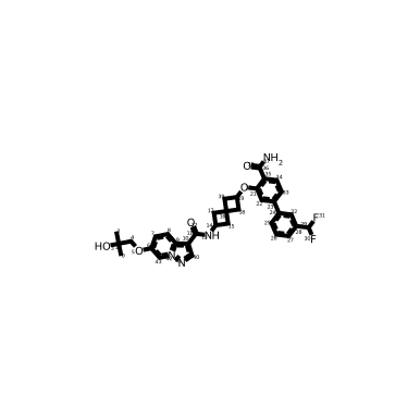 CC(C)(O)COc1ccc2c(C(=O)NC3CC4(C3)CC(Oc3cc(-c5cccc(C(F)F)c5)ccc3C(N)=O)C4)cnn2c1